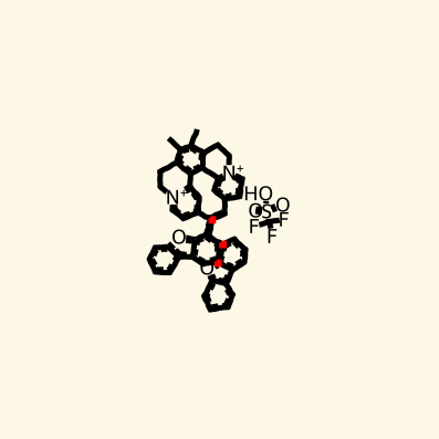 Cc1c(C)c2c(c3c1CC[n+]1ccc(/C=C/c4cccc5c4oc4ccccc45)cc1-3)-c1cc(/C=C/c3cccc4c3oc3ccccc34)cc[n+]1CC2.O=S(=O)(O)C(F)(F)F